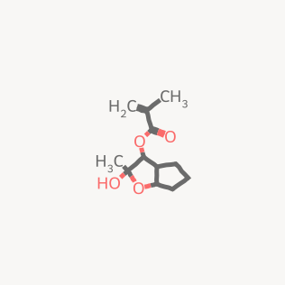 C=C(C)C(=O)OC1C2CCCC2OC1(C)O